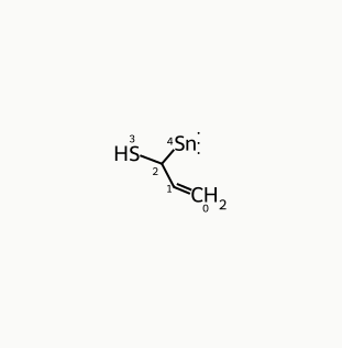 C=C[CH](S)[Sn]